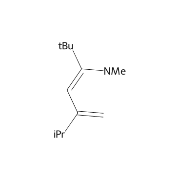 C=C(/C=C(\NC)C(C)(C)C)C(C)C